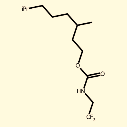 CC(C)CCCC(C)CCOC(=O)NCC(F)(F)F